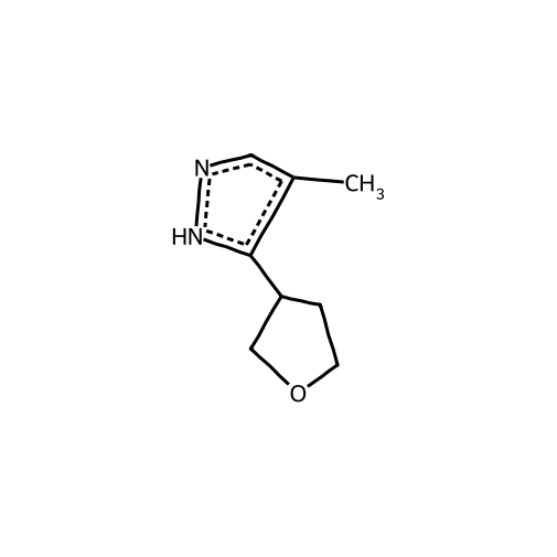 Cc1cn[nH]c1C1CCOC1